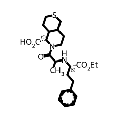 CCOC(=O)[C@H](CCc1ccccc1)NC(C)C(=O)N1CCC2CSCCC2[C@H]1C(=O)O